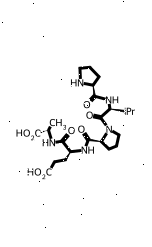 CC(C)[C@H](NC(=O)[C@@H]1CCCN1)C(=O)N1CCC[C@H]1C(=O)N[C@@H](CCC(=O)O)C(=O)N[C@@H](C)C(=O)O